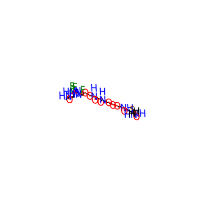 C=CC(=O)Nc1cccc(Nc2nc(Nc3ccc(OCCOCCNC(=O)CCCC(=O)NCCCOCCOCCOCCCNC(=O)CCCCC4SC[C@@H]5NC(=O)N[C@H]45)c(F)c3)ncc2C(F)(F)F)c1